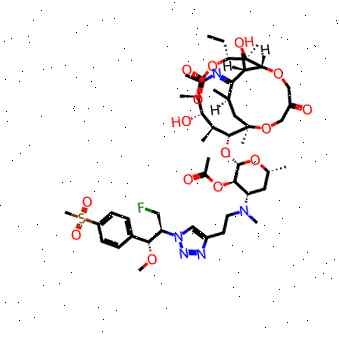 CC[C@H]1OC(=O)[C@H](C)[C@@H](O)[C@H](C)[C@@H](O[C@@H]2O[C@H](C)C[C@H](N(C)CCc3cn([C@H](CF)[C@H](OC)c4ccc(S(C)(=O)=O)cc4)nn3)[C@H]2OC(C)=O)[C@@]2(C)C[C@@H](C)/C(=N\C(C)=O)[C@H](C)[C@@H](OCC(=O)CO2)[C@]1(C)O